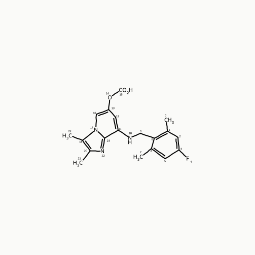 Cc1cc(F)cc(C)c1CNc1cc(OC(=O)O)cn2c(C)c(C)nc12